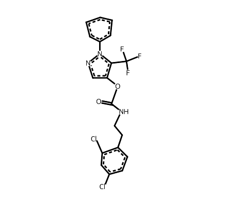 O=C(NCCc1ccc(Cl)cc1Cl)Oc1cnn(-c2ccccc2)c1C(F)(F)F